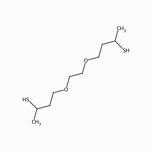 CC(S)CCOCCOCCC(C)S